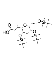 C[C@@H](CC(=O)O)[C@@H]1O[C@H](CCO[Si](C)(C)C(C)(C)C)[C@H](O[Si](C)(C)C(C)(C)C)C[C@@H]1O[Si](C)(C)C(C)(C)C